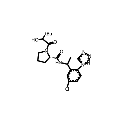 CC(NC(=O)[C@@H]1CCCN1C(=O)C(O)C(C)(C)C)c1cc(Cl)ccc1-n1cnnn1